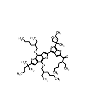 CCCCC(CC)COc1c2cc(C(C)(C)CCC)sc2c(OCC(CC)CCCC)c2cc(-c3sc(C(C)(CC)CCC)c4sc(C(=O)C(CC)CCCC)cc34)sc12